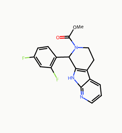 COC(=O)N1CCc2c([nH]c3ncccc23)C1c1ccc(F)cc1F